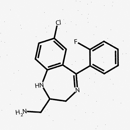 NCC1CN=C(c2ccccc2F)c2cc(Cl)ccc2N1